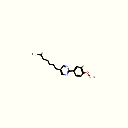 CCCCCCCCCCOc1ccc(-c2ncc(CCCCCC(C)F)cn2)cc1F